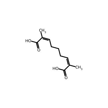 CC(=CCCCC=C(C)C(=O)O)C(=O)O